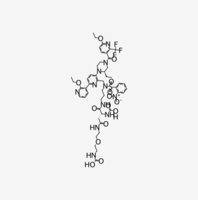 CCOc1ccc(C(=O)N2CCN(c3ccc(-c4cccnc4OCC)nc3CN(CCCNC(=O)[C@@H](CC(=O)NCCOCCNC(=O)O)NC(=O)O)S(=O)(=O)c3ccccc3[N+](=O)[O-])[C@H](CC)C2)c(C(F)(F)F)n1